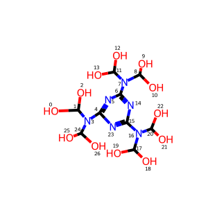 OC(O)N(c1nc(N(C(O)O)C(O)O)nc(N(C(O)O)C(O)O)n1)C(O)O